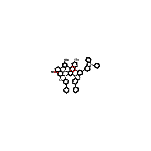 CC(C)(C)c1ccc(N2c3cc4c(cc3B3c5ccc(-c6ccccc6)cc5Oc5cc(-c6ccc7c(c6)c6ccccc6n7-c6ccccc6)cc2c53)B2c3ccc(-c5ccccc5)cc3Oc3cc(C(C)(C)C)cc(c32)N4c2c(-c3ccccc3)cc(C(C)(C)C)cc2-c2ccccc2)cc1